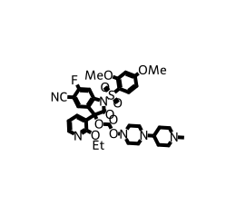 CCOc1ncccc1C1(OC(=O)ON2CCN(C3CCN(C)CC3)CC2)C(=O)N(S(=O)(=O)c2ccc(OC)cc2OC)c2cc(F)c(C#N)cc21